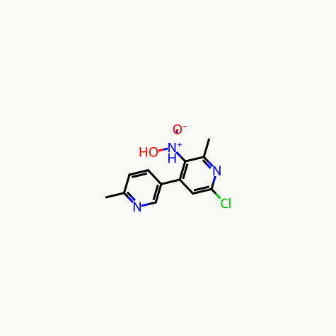 Cc1ccc(-c2cc(Cl)nc(C)c2[NH+]([O-])O)cn1